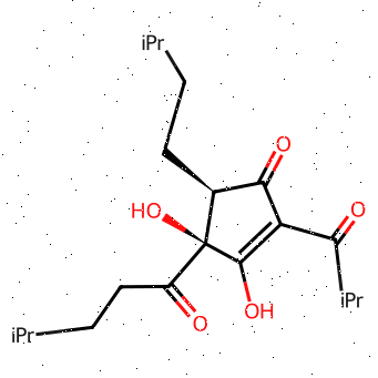 CC(C)CCC(=O)[C@@]1(O)C(O)=C(C(=O)C(C)C)C(=O)[C@@H]1CCC(C)C